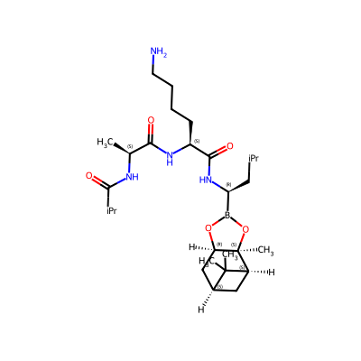 CC(C)C[C@H](NC(=O)[C@H](CCCCN)NC(=O)[C@H](C)NC(=O)C(C)C)B1O[C@@H]2C[C@@H]3C[C@@H](C3(C)C)[C@]2(C)O1